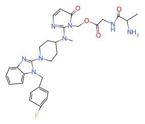 CC(N)C(=O)NCC(=O)OCn1c(N(C)C2CCN(c3nc4ccccc4n3Cc3ccc(F)cc3)CC2)nccc1=O